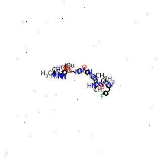 Cc1n[nH]c(Nc2ncnc3cc(OCCCN4CCN(C(=O)c5ccc(N6CCN(C[C@H]7CN[C@H](C)CN7CC(=O)N7c8cc(Cc9ccc(F)cc9)cnc8CC7(C)C)C(C)C6)nc5)CC4)c(S(=O)(=O)C(C)(C)C)cc23)c1C